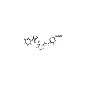 COc1ccc(CCN2CCCC2COS(=O)(=O)c2ccccc2)cc1